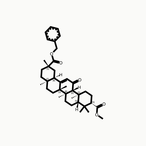 COC(=O)[C@H]1CC[C@]2(C)[C@H]3C(=O)C=C4[C@@H]5C[C@@](C)(C(=O)OCc6ccccc6)CC[C@]5(C)CC[C@@]4(C)[C@]3(C)CC[C@H]2C1(C)C